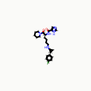 O=C(N[C@@H](CCCCNC1C[C@H]1c1ccc(F)cc1)C(=O)N1CCCCC1)c1cnc[nH]1